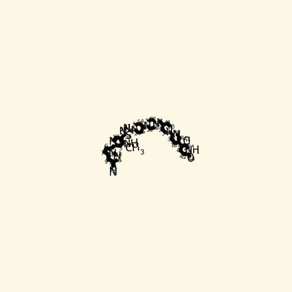 CNc1cc(-c2ccc3cc(C#N)cnn23)ncc1-c1nnc(N2CCC(N3CCN(CC4CCN(c5ccc(C6CCC(=O)NC6=O)cn5)CC4)CC3)CC2)s1